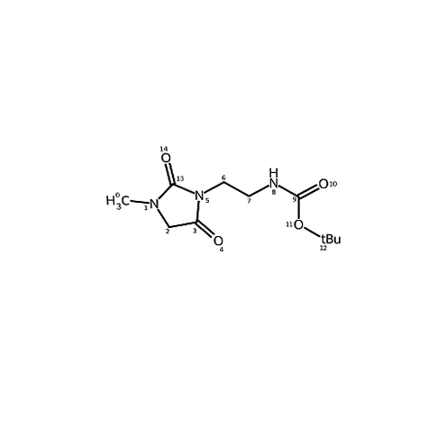 CN1CC(=O)N(CCNC(=O)OC(C)(C)C)C1=O